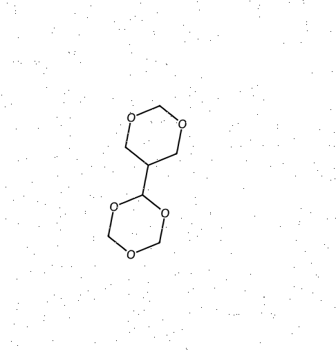 C1OCC(C2OCOCO2)CO1